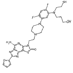 Nc1nc2c(sc(=O)n2CCN2CCN(c3cc(N(CCS)CCCO)c(F)cc3F)CC2)c2nc(-c3ccco3)nn12